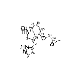 [O-][NH+]1CC(=Cc2ccn[nH]2)c2c(OCC3CO3)cccc21